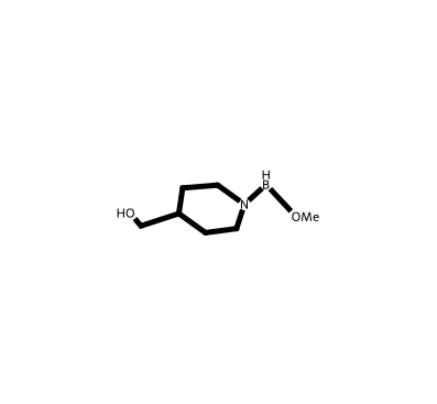 COBN1CCC(CO)CC1